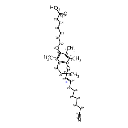 Cc1c(C)c2c(c(C)c1OCCCCCCC(=O)O)CCC(C)(/C=C/CCCCCCC#N)O2